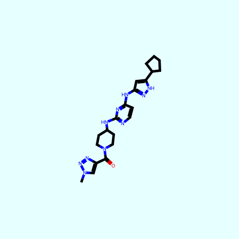 Cn1cc(C(=O)N2CCC(Nc3nccc(Nc4cc(C5CCCC5)[nH]n4)n3)CC2)nn1